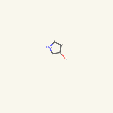 [O][C@@H]1CCNC1